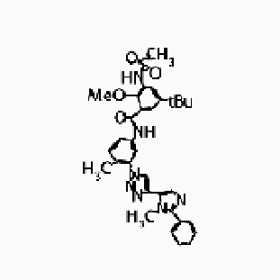 COc1c(NS(C)(=O)=O)cc(C(C)(C)C)cc1C(=O)Nc1ccc(C)c(-n2cc(-c3cnc(-c4ccccc4)n3C)nn2)c1